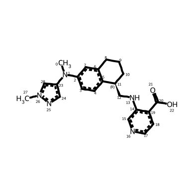 CN(c1ccc2c(c1)CCC[C@H]2CNc1cnccc1C(=O)O)c1cnn(C)c1